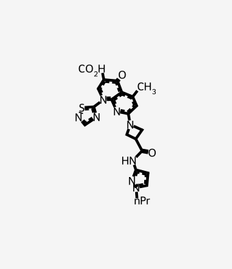 CCCn1ccc(NC(=O)C2CN(c3cc(C)c4c(=O)c(C(=O)O)cn(-c5ncns5)c4n3)C2)n1